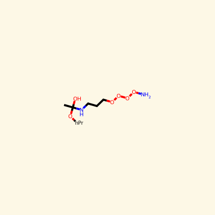 CCCOC(C)(O)NCCCOOOON